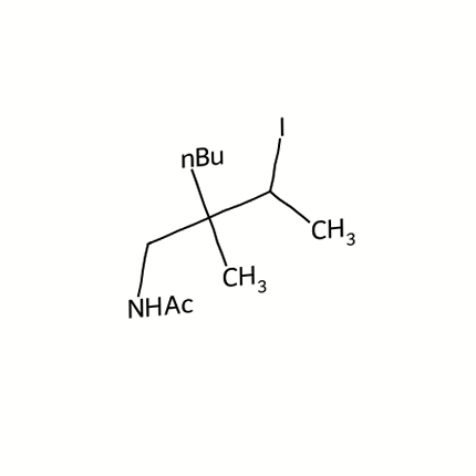 CCCCC(C)(CNC(C)=O)C(C)I